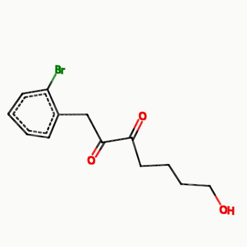 O=C(CCCCO)C(=O)Cc1ccccc1Br